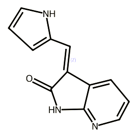 O=C1Nc2ncccc2/C1=C/c1ccc[nH]1